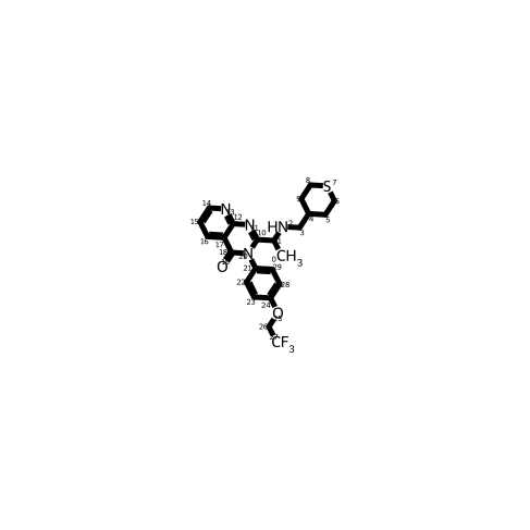 CC(NCC1CCSCC1)c1nc2ncccc2c(=O)n1-c1ccc(OCC(F)(F)F)cc1